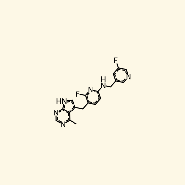 Cc1ncnc2[nH]cc(Cc3ccc(NCc4cncc(F)c4)nc3F)c12